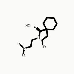 CCN(CC)CCOC(=O)C1(CCC(C)C)CCCCC1.Cl